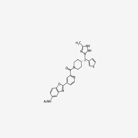 CC(=O)Nc1ccc2oc(-c3ccnc(C(=O)N4CCC([C@@H](c5ccsc5)N5N=C(C)NN5)CC4)c3)nc2c1